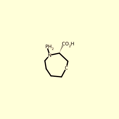 O=C(O)[C@@H]1CCCCCCN1P